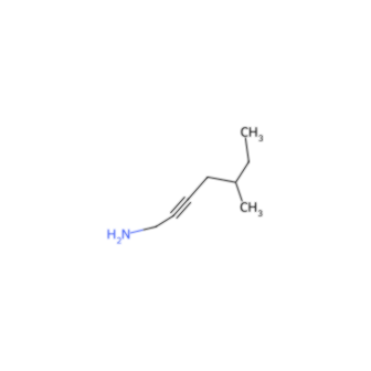 CCC(C)CC#CCN